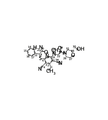 CCc1c(C#N)c(SC(C(N)=O)c2ccccc2)nc(N(C)CC(=O)N2CCO[C@@H](CO)C2)c1C#N